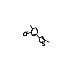 Cc1cc(-c2ccc(C)c(Cl)c2)cs1